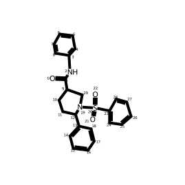 O=C(Nc1ccccc1)C1CCC(c2ccccc2)N(S(=O)(=O)c2ccccc2)C1